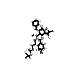 CC[C@H](c1cc2c(Cl)c(C)nn2c(=O)n1Cc1ccccc1)N(CCCNC(=O)OC(C)(C)C)C(=O)c1ccc(Br)cc1